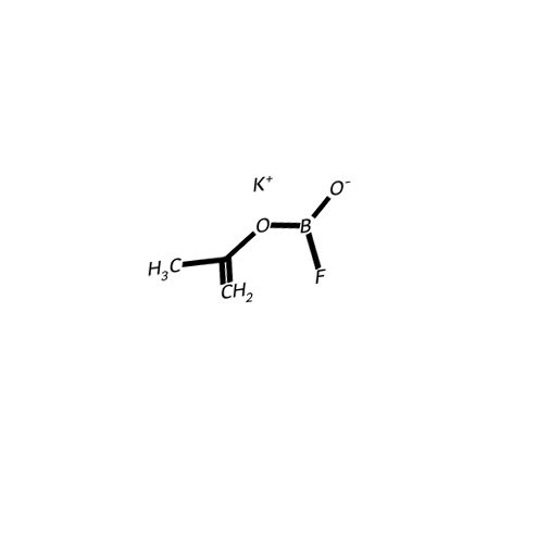 C=C(C)OB([O-])F.[K+]